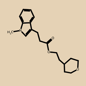 Cn1cc(CCC(=O)OCCC2CCOCC2)c2ccccc21